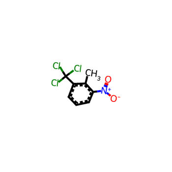 Cc1c([N+](=O)[O-])cccc1C(Cl)(Cl)Cl